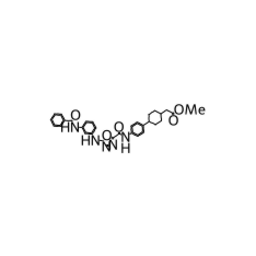 COC(=O)CC1CCC(c2ccc(NC(=O)c3nnc(Nc4cccc(NC(=O)c5ccccc5)c4)o3)cc2)CC1